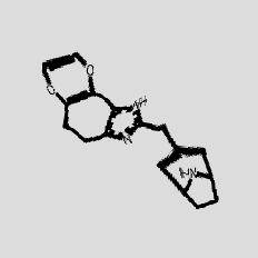 C1=COC2=C(CCc3nc(CC4CC5CCC(C4)N5)[nH]c32)O1